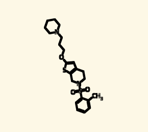 Cc1ccccc1S(=O)(=O)N1CCc2cc(OCCCN3CCCCC3)sc2C1